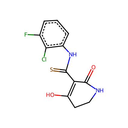 O=C1NCCC(O)=C1C(=S)Nc1cccc(F)c1Cl